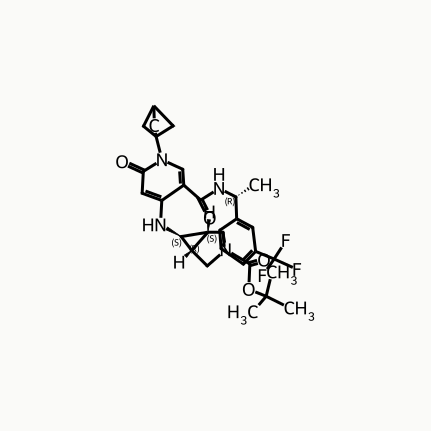 C[C@@H](NC(=O)c1cn(C23CC(C2)C3)c(=O)cc1N[C@H]1[C@@H]2CN(C(=O)OC(C)(C)C)C[C@@H]21)c1cccc(C(F)(F)F)c1